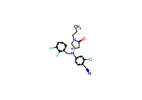 CCCN1C[C@@H](N(Cc2cccc(F)c2F)c2ccc(C#N)c(Cl)c2)CC1=O